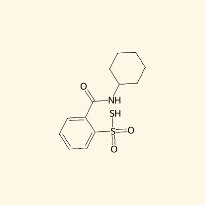 O=C(NC1CCCCC1)c1ccccc1S(=O)(=O)S